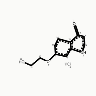 Cl.O=c1cc[nH]c2cc(OCCO)ccc12